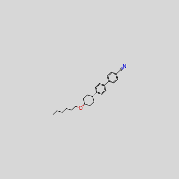 CCCCCCO[C@H]1CC[C@H](c2ccc(-c3ccc(C#N)cc3)cc2)CC1